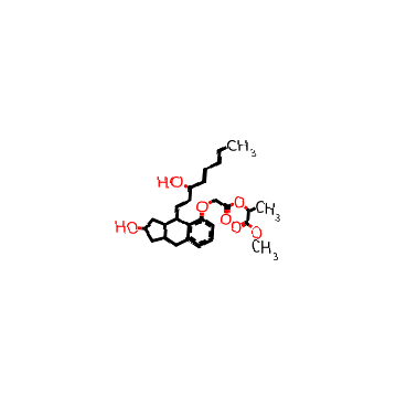 CCCCCC(O)CCC1c2c(cccc2OCC(=O)OC(C)C(=O)OC)CC2CC(O)CC21